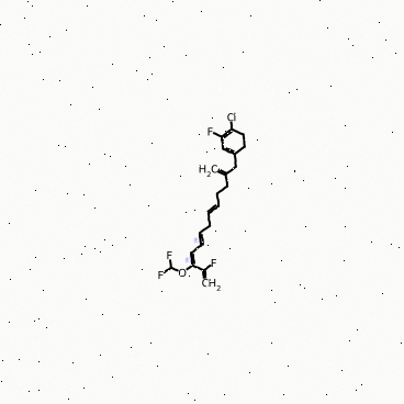 C=C(CCC=CC/C=C/C=C(/OC(F)F)C(=C)F)CC1=CC(F)=C(Cl)CC1